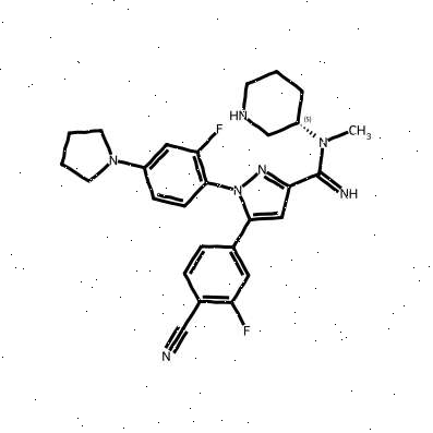 CN(C(=N)c1cc(-c2ccc(C#N)c(F)c2)n(-c2ccc(N3CCCC3)cc2F)n1)[C@H]1CCCNC1